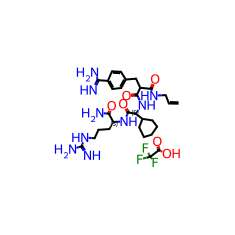 C=CCNC(=O)C(Cc1ccc(C(=N)N)cc1)C(=O)N[C@H](C(=O)N[C@@H](CCCNC(=N)N)C(N)=O)C1CCCCC1.O=C(O)C(F)(F)F